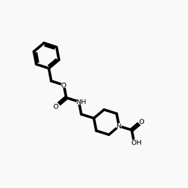 O=C(NCC1CCN(C(=O)O)CC1)OCc1ccccc1